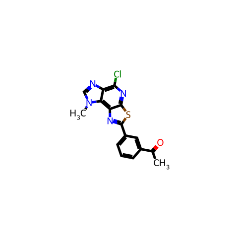 CC(=O)c1cccc(-c2nc3c(nc(Cl)c4ncn(C)c43)s2)c1